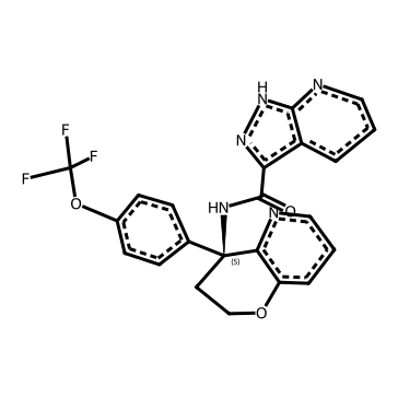 O=C(N[C@]1(c2ccc(OC(F)(F)F)cc2)CCOc2cccnc21)c1n[nH]c2ncccc12